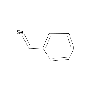 [Se]=[C]c1ccccc1